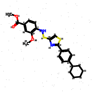 COC(=O)c1ccc(NSc2csc(-c3ccc(C4CCCCC4)cc3)n2)c(OC)c1